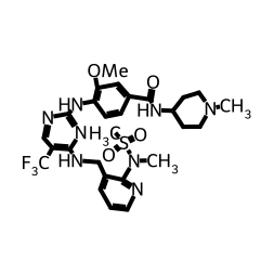 COc1cc(C(=O)NC2CCN(C)CC2)ccc1Nc1ncc(C(F)(F)F)c(NCc2cccnc2N(C)S(C)(=O)=O)n1